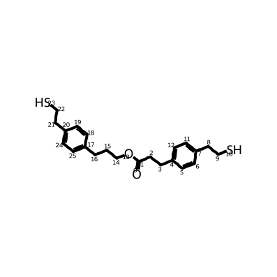 O=C(CCc1ccc(CCS)cc1)OCCCc1ccc(CCS)cc1